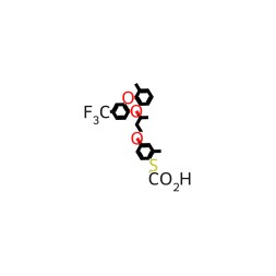 Cc1ccccc1Oc1cc(C(F)(F)F)ccc1OC(C)CCOc1ccc(SCC(=O)O)c(C)c1